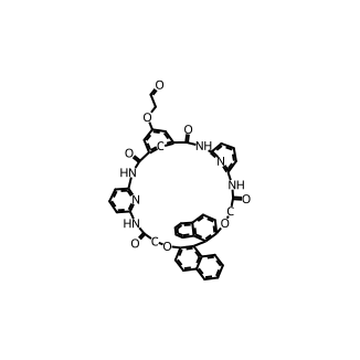 O=CCOc1cc2cc(c1)C(=O)Nc1cccc(n1)NC(=O)COc1ccc3ccccc3c1-c1c(ccc3ccccc13)OCC(=O)Nc1cccc(n1)NC2=O